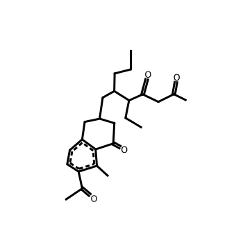 CCCC(CC1CC(=O)c2c(ccc(C(C)=O)c2C)C1)C(CC)C(=O)CC(C)=O